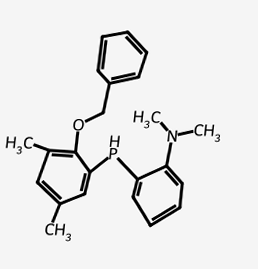 Cc1cc(C)c(OCc2ccccc2)c(Pc2ccccc2N(C)C)c1